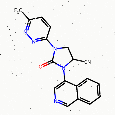 N#CC1CN(c2ccc(C(F)(F)F)nn2)C(=O)N1c1cncc2ccccc12